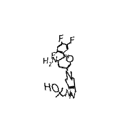 CC(C)(O)Cn1ncc2c1CN(C1CO[C@H](c3cc(F)c(F)cc3F)C(N)C1)C2